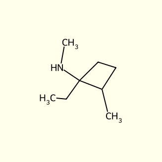 CCC1(NC)CCC1C